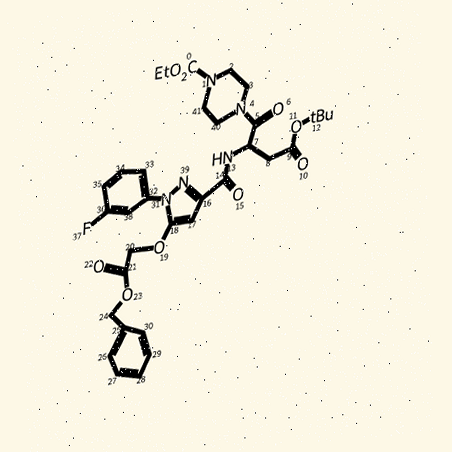 CCOC(=O)N1CCN(C(=O)C(CC(=O)OC(C)(C)C)NC(=O)c2cc(OCC(=O)OCc3ccccc3)n(-c3cccc(F)c3)n2)CC1